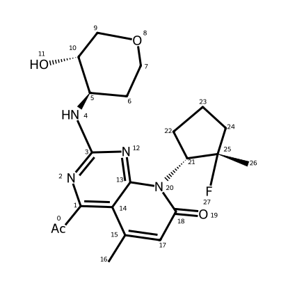 CC(=O)c1nc(N[C@@H]2CCOC[C@H]2O)nc2c1c(C)cc(=O)n2[C@@H]1CCC[C@]1(C)F